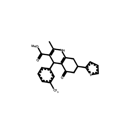 COC(=O)C1=C(C)NC2=C(C(=O)CC(c3cccs3)C2)C1c1cccc(C(F)(F)F)c1